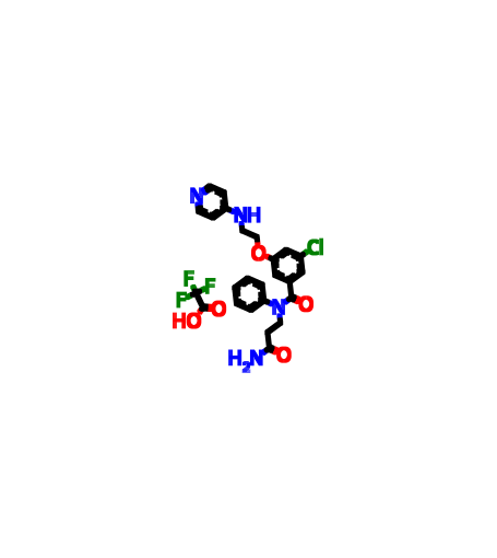 NC(=O)CCN(C(=O)c1cc(Cl)cc(OCCNc2ccncc2)c1)c1ccccc1.O=C(O)C(F)(F)F